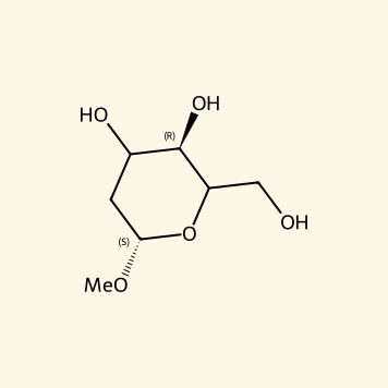 CO[C@@H]1CC(O)[C@@H](O)C(CO)O1